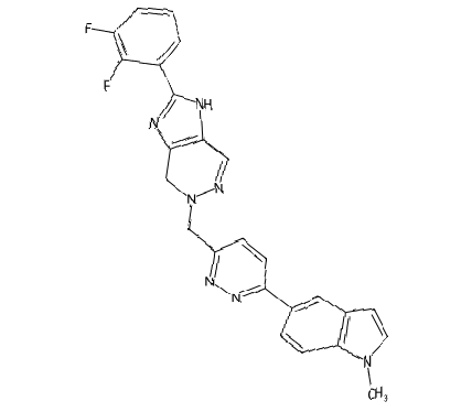 Cn1ccc2cc(-c3ccc(CN4Cc5nc(-c6cccc(F)c6F)[nH]c5C=N4)nn3)ccc21